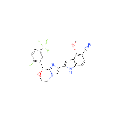 COc1c(C#N)ccc2[nH]c(-c3cn4c(n3)C(c3cc(C(F)(F)F)ccc3F)OCC4)cc12